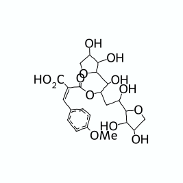 COc1ccc(C=C(C(=O)O)C(=O)OC(CC(O)C2OCC(O)C2O)C(O)C2OCC(O)C2O)cc1